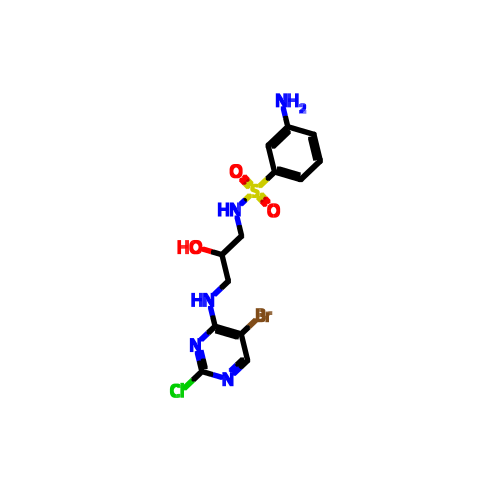 Nc1cccc(S(=O)(=O)NCC(O)CNc2nc(Cl)ncc2Br)c1